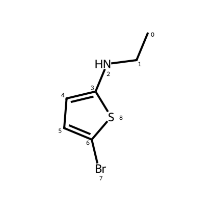 CCNc1ccc(Br)s1